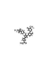 Cc1ccc(-c2cc(-c3nn(-c4nc(C(=O)O)cs4)cc3Cc3ccc(S(N)(=O)=O)cc3)ccc2F)cc1F